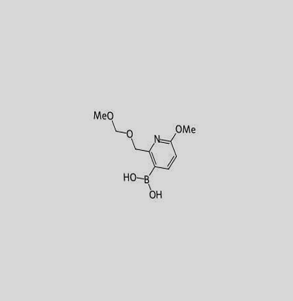 COCOCc1nc(OC)ccc1B(O)O